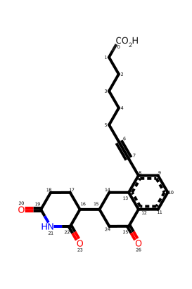 O=C(O)CCCCCC#Cc1cccc2c1CC(C1CCC(=O)NC1=O)CC2=O